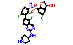 O=S(=O)(Nc1ccc(F)c(-c2ccc3nc(NC4CCNCC4)ncc3c2F)c1F)c1cc(Cl)cc2c1OCC2O